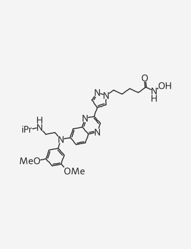 COc1cc(OC)cc(N(CCNC(C)C)c2ccc3ncc(-c4cnn(CCCCC(=O)NO)c4)nc3c2)c1